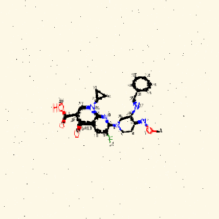 CON=C1CCN(c2nc3c(cc2F)c(=O)c(C(=O)O)cn3C2CC2)CC1N=Cc1ccccc1